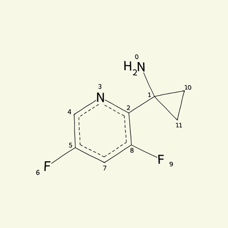 NC1(c2ncc(F)cc2F)CC1